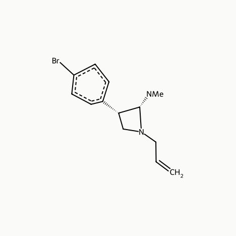 C=CCN1C[C@H](c2ccc(Br)cc2)[C@@H]1NC